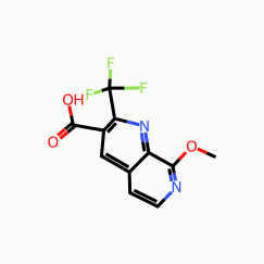 COc1nccc2cc(C(=O)O)c(C(F)(F)F)nc12